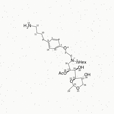 CCCCCCN(CCOc1ccc(CCCCN)cc1)C[C@H](OC(C)=O)[C@@H](O)[C@@H]1OC(C)OC[C@H]1O